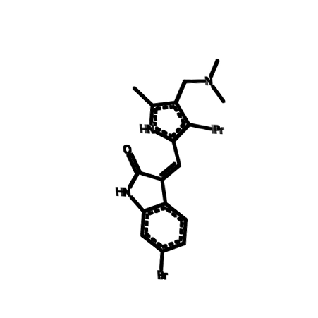 Cc1[nH]c(C=C2C(=O)Nc3cc(Br)ccc32)c(C(C)C)c1CN(C)C